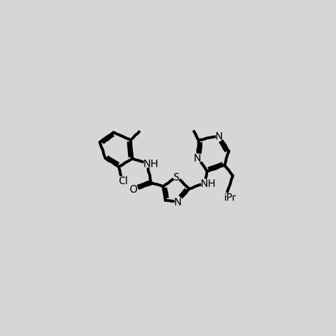 Cc1ncc(CC(C)C)c(Nc2ncc(C(=O)Nc3c(C)cccc3Cl)s2)n1